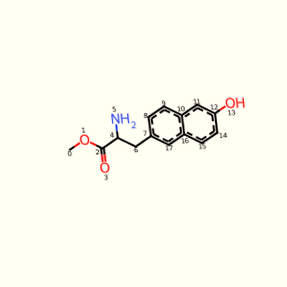 COC(=O)C(N)Cc1ccc2cc(O)ccc2c1